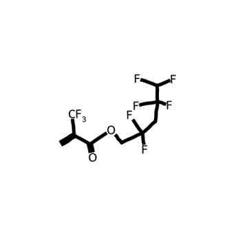 C=C(C(=O)OCC(F)(F)CC(F)(F)C(F)F)C(F)(F)F